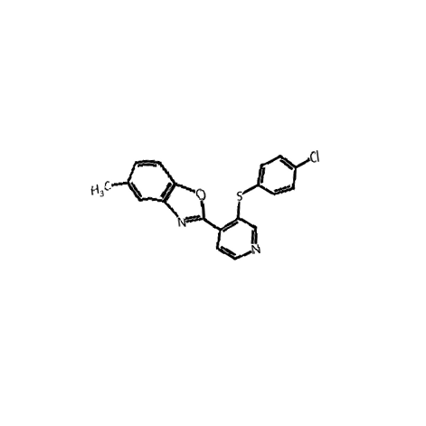 Cc1ccc2oc(-c3ccncc3Sc3ccc(Cl)cc3)nc2c1